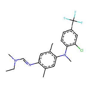 CCN(C)C=Nc1cc(C)c(N(C)c2ccc(C(F)(F)F)cc2Cl)cc1C